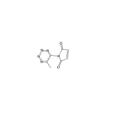 Cc1nnnnc1N1C(=O)C=CC1=O